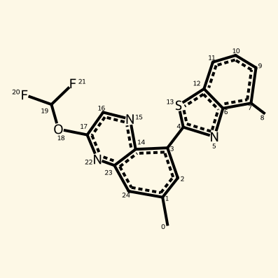 Cc1cc(-c2nc3c(C)cccc3s2)c2ncc(OC(F)F)nc2c1